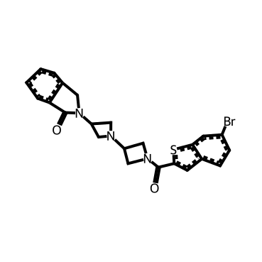 O=C(c1cc2ccc(Br)cc2s1)N1CC(N2CC(N3Cc4ccccc4C3=O)C2)C1